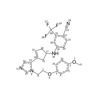 COc1ccc(OCCn2cncc2C2=CCC(Nc3ccc(C#N)c(C(F)(F)F)c3)C2)cc1